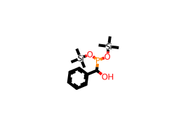 C[Si](C)(C)OP(O[Si](C)(C)C)C(O)c1ccccc1